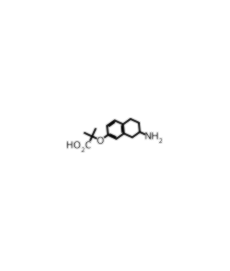 CC(C)(Oc1ccc2c(c1)CC(N)CC2)C(=O)O